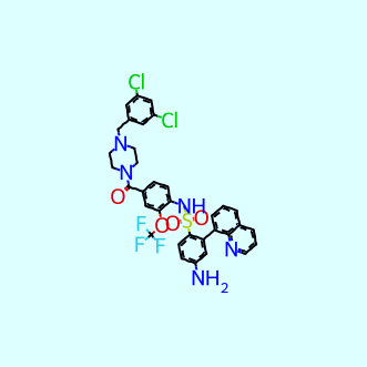 Nc1ccc(S(=O)(=O)Nc2ccc(C(=O)N3CCN(Cc4cc(Cl)cc(Cl)c4)CC3)cc2OC(F)(F)F)c(-c2cccc3cccnc23)c1